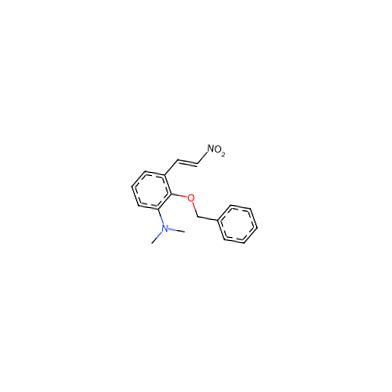 CN(C)c1cccc(C=C[N+](=O)[O-])c1OCc1ccccc1